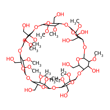 COC1C2OC(CO)C(OC3OC(CO)C(OC4OC(CO)C(OC5OC(CO)C(OC6OC(CO)C(OC7OC(CO)C(OC8OC(CO)C(O2)C(OC)C8OC)C(OC)C7OC)C(OC)C6OC)C(OC)C5OC)C(OC)C4OC)C(O)C3OC)C1O